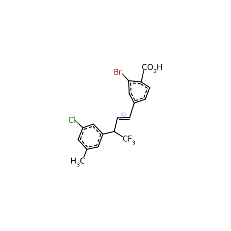 Cc1cc(Cl)cc(C(/C=C/c2ccc(C(=O)O)c(Br)c2)C(F)(F)F)c1